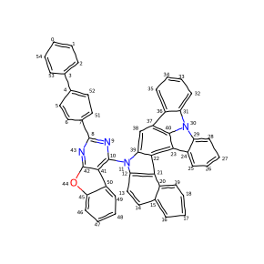 c1ccc(-c2ccc(-c3nc(-n4c5ccc6ccccc6c5c5c6c7ccccc7n7c8ccccc8c(cc54)c67)c4c(n3)oc3ccccc34)cc2)cc1